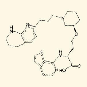 O=C(O)[C@H](CCO[C@@H]1CCCN(CCCc2ccc3c(n2)NCCC3)C1)Nc1nccc2ccsc12